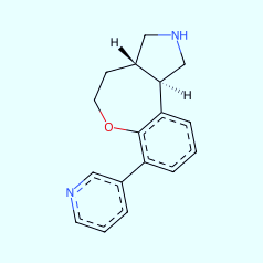 c1cncc(-c2cccc3c2OCC[C@@H]2CNC[C@@H]32)c1